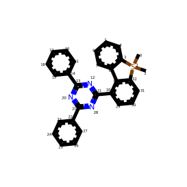 CS1(C)c2ccccc2-c2c(-c3nc(-c4ccccc4)nc(-c4ccccc4)n3)cccc21